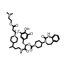 CC(CCN(C)C(=O)[C@@H](Cc1cc(Cl)c(O)c(C(F)(F)F)c1)OC(=O)N1CCC(N2CCc3ccccc3NC2=O)CC1)C1CCN(CCC(=O)OCCN(C)C)CC1